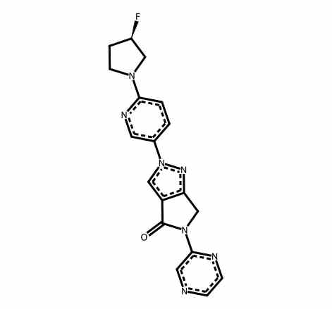 O=C1c2cn(-c3ccc(N4CC[C@@H](F)C4)nc3)nc2CN1c1cnccn1